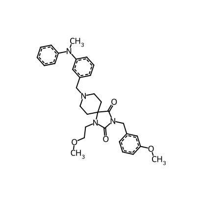 COCCN1C(=O)N(Cc2cccc(OC)c2)C(=O)C12CCN(Cc1cccc(N(C)c3ccccc3)c1)CC2